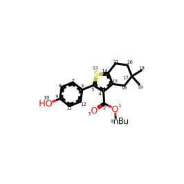 CCCCOC(=O)c1c(-c2ccc(O)cc2)sc2c1CC(C)(C)CC2